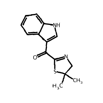 CC1(C)CN=C(C(=O)c2c[nH]c3ccccc23)S1